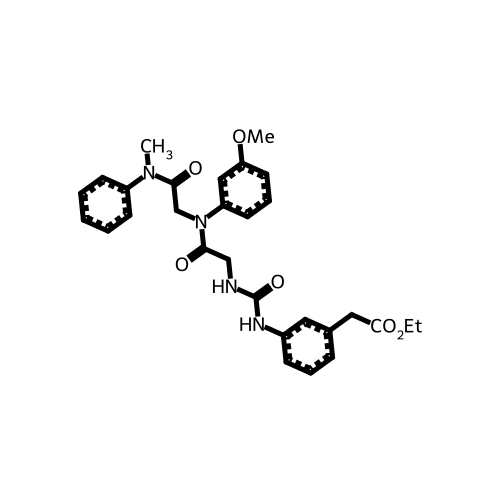 CCOC(=O)Cc1cccc(NC(=O)NCC(=O)N(CC(=O)N(C)c2ccccc2)c2cccc(OC)c2)c1